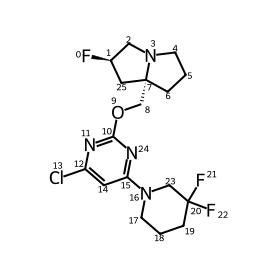 F[C@H]1CN2CCC[C@@]2(COc2nc(Cl)cc(N3CCCC(F)(F)C3)n2)C1